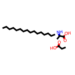 CC(=N)C(=O)O.CCC(=O)O.CCCCCCCCCCCCCCCC